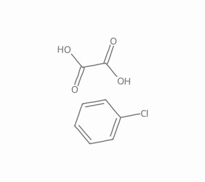 Clc1ccccc1.O=C(O)C(=O)O